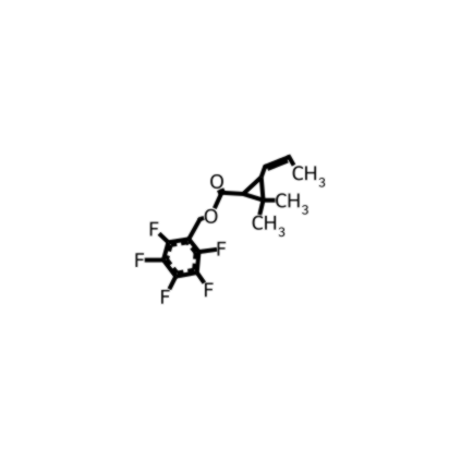 C/C=C\C1C(C(=O)OCc2c(F)c(F)c(F)c(F)c2F)C1(C)C